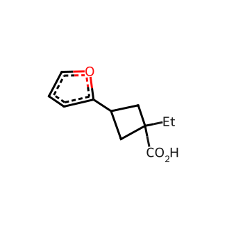 CCC1(C(=O)O)CC(c2ccco2)C1